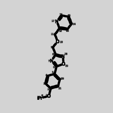 CC(C)Oc1ccc(-c2nc(COCc3ccccn3)no2)cc1